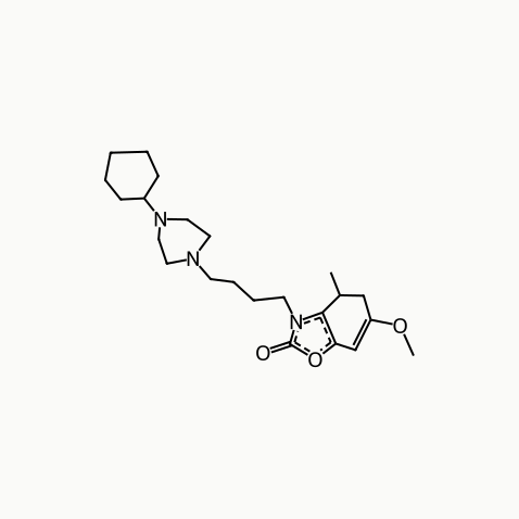 COC1=Cc2oc(=O)n(CCCCN3CCN(C4CCCCC4)CC3)c2C(C)C1